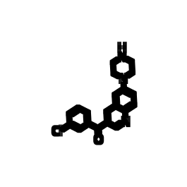 O=C(c1cccc(Cl)c1)c1cnc2ccc(N3CCNCC3)cc2c1